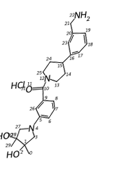 CC1(O)CN(c2cccc(C(=O)N3CCC(c4cccc(CN)c4)CC3)c2)CC1(C)O.Cl